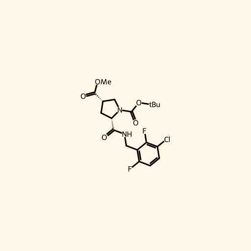 COC(=O)[C@H]1C[C@@H](C(=O)NCc2c(F)ccc(Cl)c2F)N(C(=O)OC(C)(C)C)C1